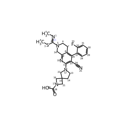 C/N=C(\SC)N1CCc2c(nc(N3CCC4(CN(C(=O)O)C4)C3)c(C#N)c2-c2ccccc2F)C1